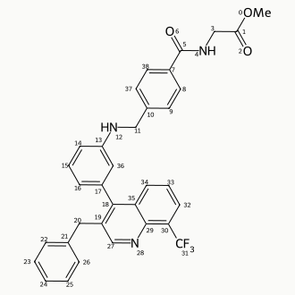 COC(=O)CNC(=O)c1ccc(CNc2cccc(-c3c(Cc4ccccc4)cnc4c(C(F)(F)F)cccc34)c2)cc1